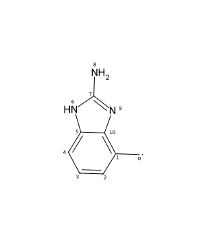 [CH2]c1cccc2[nH]c(N)nc12